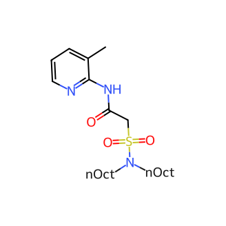 CCCCCCCCN(CCCCCCCC)S(=O)(=O)CC(=O)Nc1ncccc1C